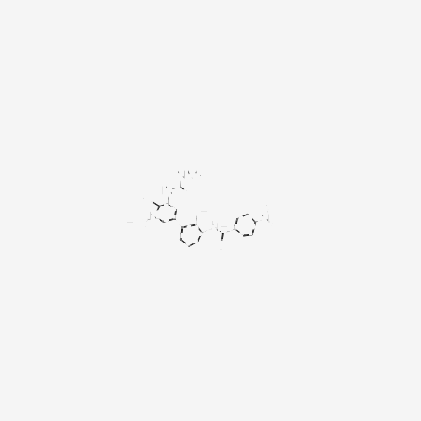 CNC(=O)Nc1cc(-c2cccc(NC(=O)c3ccc(N(C)C)cc3)c2C)cn(C)c1=O